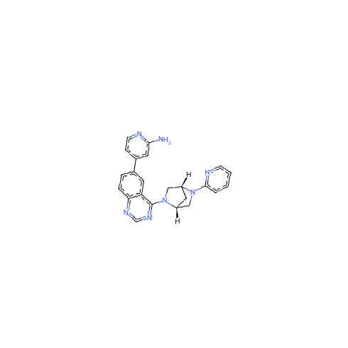 Nc1cc(-c2ccc3ncnc(N4C[C@H]5C[C@@H]4CN5c4ccccn4)c3c2)ccn1